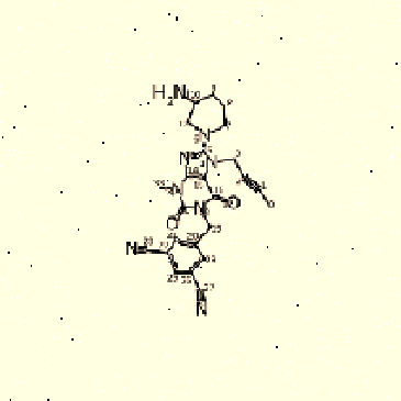 CC#CCn1c(N2CCCC(N)C2)nc2c1c(=O)n(Cc1cc(C#N)cc(C#N)c1)c(=O)n2C